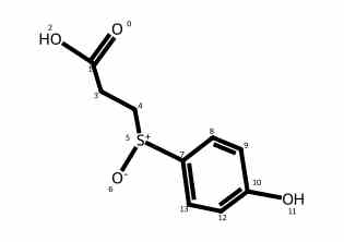 O=C(O)CC[S+]([O-])c1ccc(O)cc1